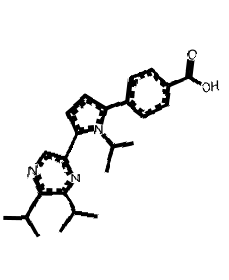 CC(C)c1ncc(-c2ccc(-c3ccc(C(=O)O)cc3)n2C(C)C)nc1C(C)C